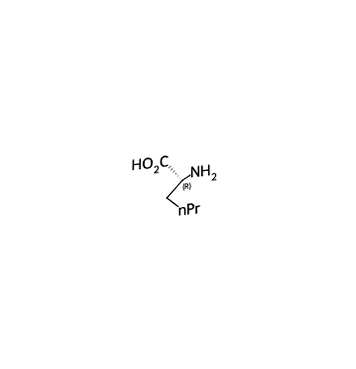 CCCC[C@@H](N)C(=O)O